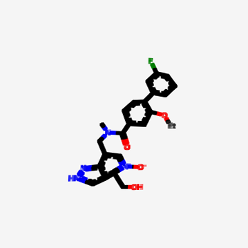 CCOc1cc(C(=O)N(C)Cc2c[n+]([O-])c(CO)c3c[nH]nc23)ccc1-c1cccc(F)c1